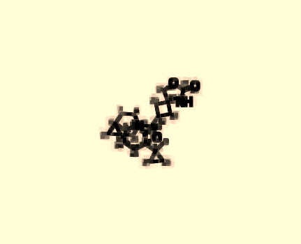 CC1(c2ccc(C34CCN(C(=O)C5CC6(COC(=O)N6)C5)CC3C4)cc2)CC1